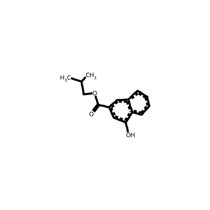 CC(C)COC(=O)c1cc(O)c2ccccc2c1